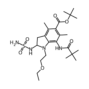 CCOCCN1c2c(c(C)c(C(=O)OC(C)(C)C)c(C)c2NC(=O)C(C)(C)C)CC1NS(N)(=O)=O